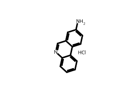 Cl.Nc1ccc2c(cnc3ccccc32)c1